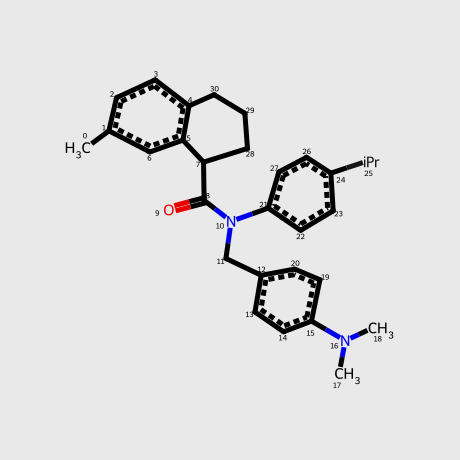 Cc1ccc2c(c1)C(C(=O)N(Cc1ccc(N(C)C)cc1)c1ccc(C(C)C)cc1)CCC2